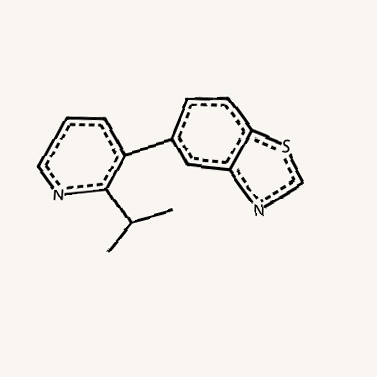 CC(C)c1ncccc1-c1ccc2scnc2c1